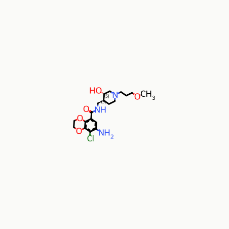 COCCCN1CC[C@@H](CNC(=O)c2cc(N)c(Cl)c3c2OCCO3)[C@H](O)C1